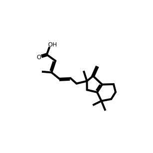 C=C1C2=C(CC1(C)CC=CC(C)=CC(=O)O)C(C)(C)CCC2